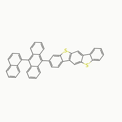 c1ccc2c(-c3c4ccccc4c(-c4ccc5c(c4)sc4cc6c(cc45)sc4ccccc46)c4ccccc34)cccc2c1